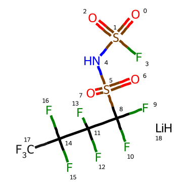 O=S(=O)(F)NS(=O)(=O)C(F)(F)C(F)(F)C(F)(F)C(F)(F)F.[LiH]